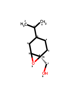 CC(C)C1CC[C@@]2(CO)OC2C1